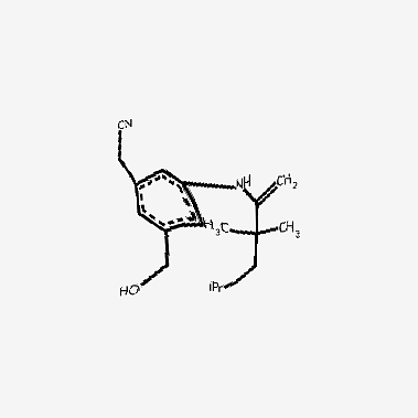 C=C(Nc1cc(CO)cc(CC#N)c1)C(C)(C)CC(C)C